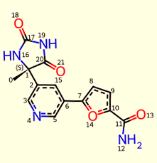 C[C@@]1(c2cncc(-c3ccc(C(N)=O)o3)c2)NC(=O)NC1=O